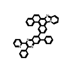 c1ccc(-c2cc3nc(-c4ccccc4)c(-c4ccccn4)nc3cc2-c2ccc3c(c2)c2c4ccccc4ccc2c2nc4ccccn4c32)cc1